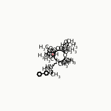 CC[C@H]1OC(=O)[C@H](C)[C@@H](O[C@@H](CCOC)O[C@@H](C)[C@@H](C)O)[C@H](C)[C@@H](O[C@@H]2O[C@H](C)C[C@H](N(C)C)[C@H]2O)[C@](C)(O)C[C@@H](C)CN(CCCNC(=S)Nc2cc(-c3ccccc3)ccc2OC)[C@H](C)[C@@H](O)[C@]1(C)O